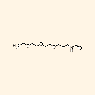 CCOCCOCCOCCCNC=O